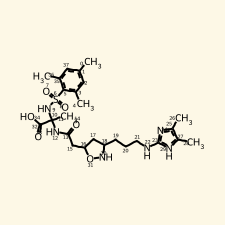 Cc1cc(C)c(S(=O)(=O)NC(C)(NC(=O)CC2CC(CCCNc3nc(C)c(C)[nH]3)NO2)C(=O)O)c(C)c1